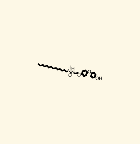 CCCCCCCCCCCCCCNC(=O)NCCOc1ccc(Oc2ccc(O)cc2)cc1